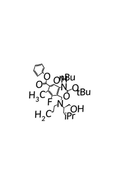 C=CCN(Cc1c(F)c(C)c(C(=O)Oc2ccccc2)c(OCCCC)c1NC(=O)OC(C)(C)C)[C@@H](CO)CC(C)C